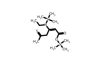 CCN(C(=CC(=O)O[Si](C)(C)C)CC(C)=S)[Si](C)(C)C